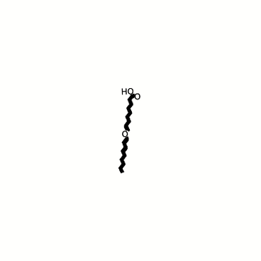 CCCCCC=CC=COC=CCCCCCCC(=O)O